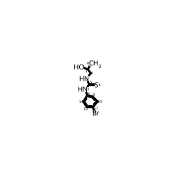 CC(O)CNC(=S)Nc1ccc(Br)cc1